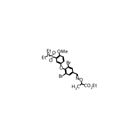 CCOC(=O)C(C)ON=Cc1cc(Br)c(Oc2ccc(OC)c(S(=O)(=O)N(CC)CC)c2)c(Br)c1